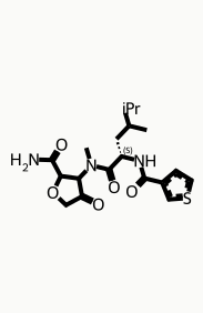 CC(C)C(C)C[C@H](NC(=O)c1ccsc1)C(=O)N(C)C1C(=O)COC1C(N)=O